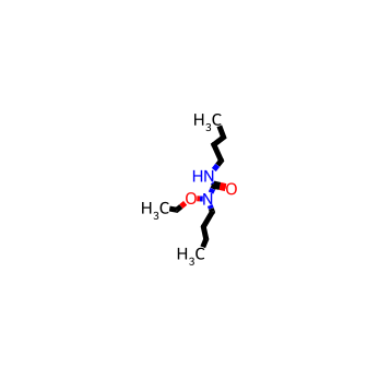 CCCCNC(=O)N(CCCC)OCC